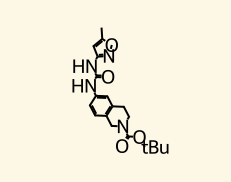 Cc1cc(NC(=O)Nc2ccc3c(c2)CCN(C(=O)OC(C)(C)C)C3)no1